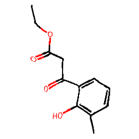 CCOC(=O)CC(=O)c1cccc(C)c1O